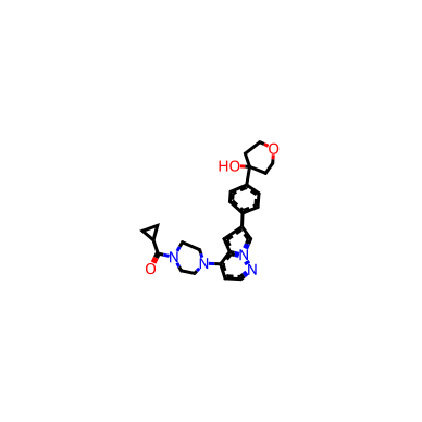 O=C(C1CC1)N1CCN(c2ccnn3cc(-c4ccc(C5(O)CCOCC5)cc4)cc23)CC1